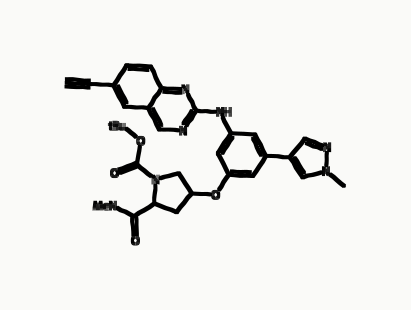 C#Cc1ccc2nc(Nc3cc(OC4CC(C(=O)NC)N(C(=O)OC(C)(C)C)C4)cc(-c4cnn(C)c4)c3)ncc2c1